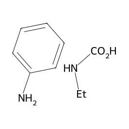 CCNC(=O)O.Nc1ccccc1